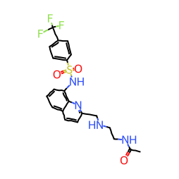 CC(=O)NCCNCc1ccc2cccc(NS(=O)(=O)c3ccc(C(F)(F)F)cc3)c2n1